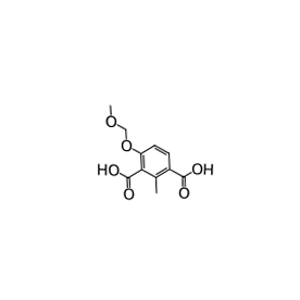 COCOc1ccc(C(=O)O)c(C)c1C(=O)O